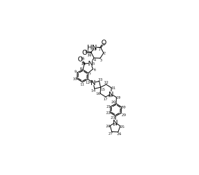 O=C1CCC(N2Cc3c(cccc3N3CC4(CCN(Cc5ccc(N6CCCC6)cc5)CC4)C3)C2=O)C(=O)N1